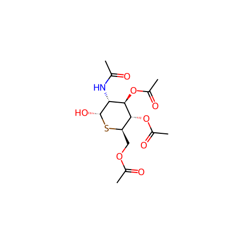 CC(=O)N[C@@H]1[C@@H](OC(C)=O)[C@H](OC(C)=O)[C@@H](COC(C)=O)S[C@@H]1O